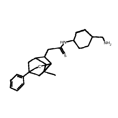 CC12CC3CC(c4ccccc4)(CC1C3CC(=S)NC1CCC(CN)CC1)C2